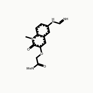 CNC(=O)COc1cc2cc(NC=N)ccc2n(C)c1=O